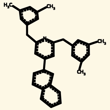 Cc1cc(C)cc(Cc2cc(-c3ccc4ccccc4c3)cc(Cc3cc(C)cc(C)c3)n2)c1